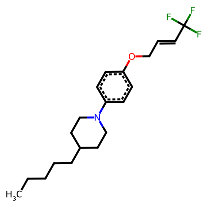 CCCCCC1CCN(c2ccc(OCC=CC(F)(F)F)cc2)CC1